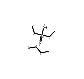 CCCC.CCP(=O)(O)CC